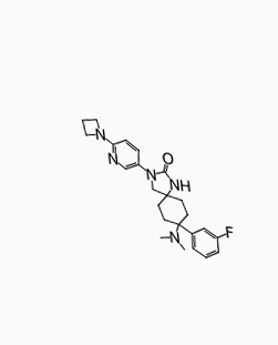 CN(C)C1(c2cccc(F)c2)CCC2(CC1)CN(c1ccc(N3CCC3)nc1)C(=O)N2